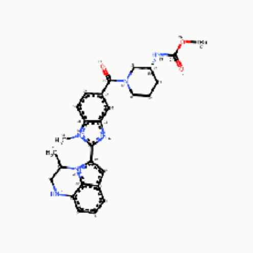 CC1CNc2cccc3cc(-c4nc5cc(C(=O)N6CCC[C@@H](NC(=O)OC(C)(C)C)C6)ccc5n4C)n1c23